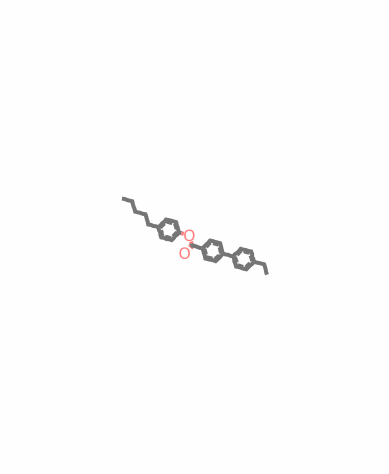 CCCCCc1ccc(OC(=O)c2ccc(-c3ccc(CC)cc3)cc2)cc1